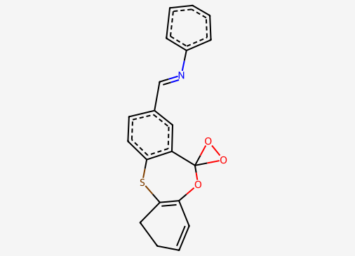 C1=CC2=C(CC1)Sc1ccc(C=Nc3ccccc3)cc1C1(OO1)O2